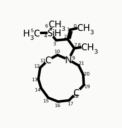 C/C=C(/C[SiH](C)C)C(C)N1CCCCCCCCCCCC1